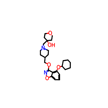 OC1(CN2CCC(COc3noc4cccc(OC5CCCCC5)c34)CC2)CCOCC1